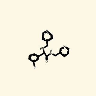 O=C(NCc1cccnc1)C(NCc1ccncc1)c1cccc(Cl)c1